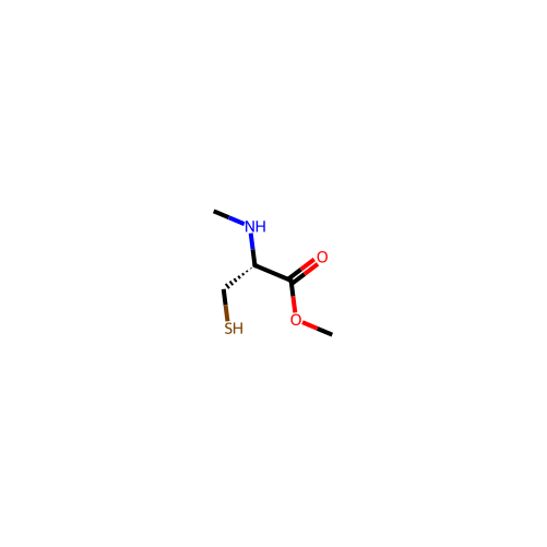 CN[C@@H](CS)C(=O)OC